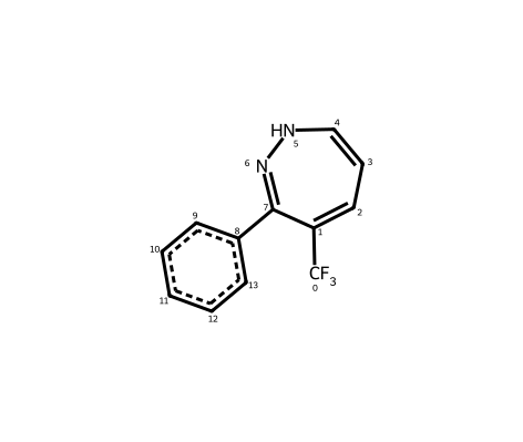 FC(F)(F)C1=CC=CNN=C1c1ccccc1